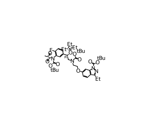 CCc1nn(C(=O)OC(C)(C)C)c2cc(OCCN(C[C@H](O[Si](CC)(CC)CC)c3ccc(F)c(N(C(=O)OC(C)(C)C)S(C)(=O)=O)c3)C(=O)OC(C)(C)C)ccc12